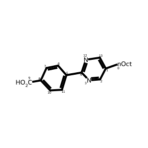 CCCCCCCCc1cnc(-c2ccc(C(=O)O)cc2)nc1